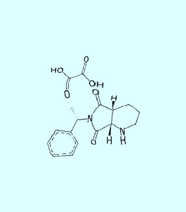 C[C@@H](c1ccccc1)N1C(=O)[C@H]2NCCC[C@H]2C1=O.O=C(O)C(=O)O